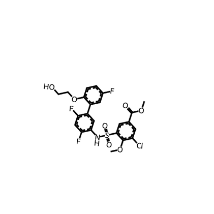 COC(=O)c1cc(Cl)c(OC)c(S(=O)(=O)Nc2cc(-c3cc(F)ccc3OCCO)c(F)cc2F)c1